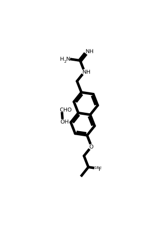 CC([18F])COc1ccc2cc(CNC(=N)N)ccc2c1.O=CO